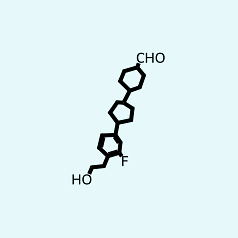 O=CC1CCC(C2CCC(c3ccc(CCO)c(F)c3)CC2)CC1